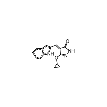 O=C1NN=C(OC2CC2)/C1=C\c1cc2ccccc2[nH]1